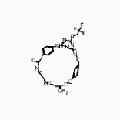 C=C1CNCC2CN(C2)C(=O)c2ccc(cc2)Nc2nc(nc(OCC(F)(F)F)n2)NCc2ccc(cc2)OC1